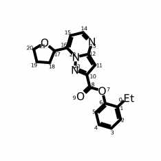 CCc1ccccc1OC(=O)c1cc2nccc(C3CCCO3)n2n1